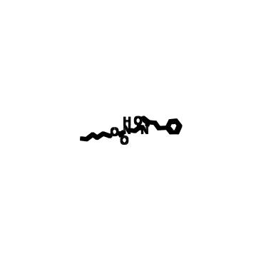 CCCCCCOC(=O)NCc1nc(CCc2ccccc2)co1